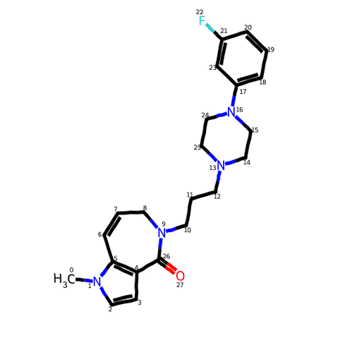 Cn1ccc2c1C=CCN(CCCN1CCN(c3cccc(F)c3)CC1)C2=O